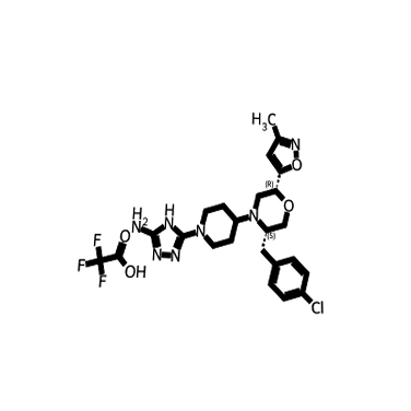 Cc1cc([C@H]2CN(C3CCN(c4nnc(N)[nH]4)CC3)[C@@H](Cc3ccc(Cl)cc3)CO2)on1.O=C(O)C(F)(F)F